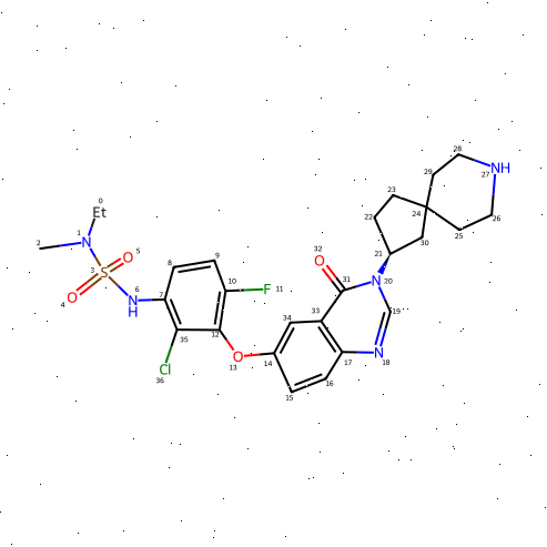 CCN(C)S(=O)(=O)Nc1ccc(F)c(Oc2ccc3ncn([C@H]4CCC5(CCNCC5)C4)c(=O)c3c2)c1Cl